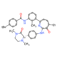 CCc1ccc(-c2cccc(NC(=O)c3ccc(C(C)(C)C)cc3)c2C)nc(Nc2ccc([C@H]3C(=O)N(C)CCN3C)cc2)c1=O